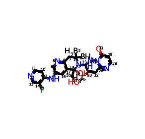 BC1(B)Cc2ncc(Nc3ccncc3F)cc2C(O)(CO)N1C1Nn2c(nccc2=O)C=C1C